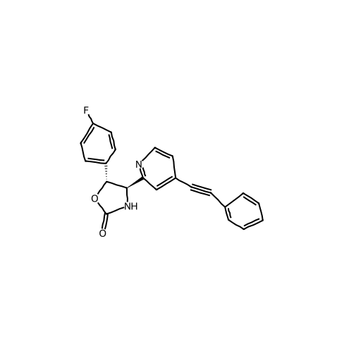 O=C1N[C@H](c2cc(C#Cc3ccccc3)ccn2)[C@@H](c2ccc(F)cc2)O1